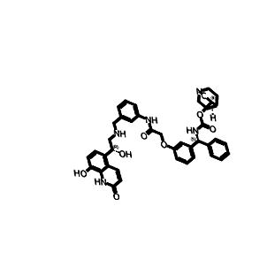 O=C(COc1cccc([C@@H](NC(=O)O[C@H]2CN3CCC2CC3)c2ccccc2)c1)Nc1cccc(CNC[C@H](O)c2ccc(O)c3[nH]c(=O)ccc23)c1